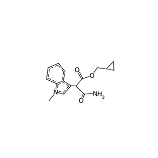 Cn1cc(C(C(N)=O)C(=O)OCC2CC2)c2ccccc21